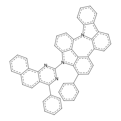 c1ccc(-c2nc(-n3c4cccc5c4c4c(ccc(-c6ccccc6)c43)c3cccc4c6ccccc6n5c34)nc3c2ccc2ccccc23)cc1